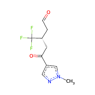 Cn1cc(C(=O)C[C@@H](CC=O)C(F)(F)F)cn1